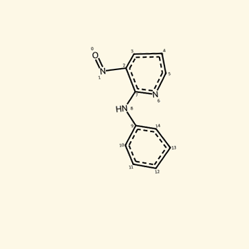 O=Nc1cccnc1Nc1ccccc1